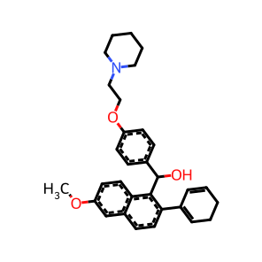 COc1ccc2c(C(O)c3ccc(OCCN4CCCCC4)cc3)c(C3=CCCC=C3)ccc2c1